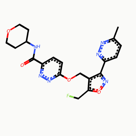 Cc1ccc(-c2noc(CF)c2COc2ccc(C(=O)NC3CCOCC3)nn2)nn1